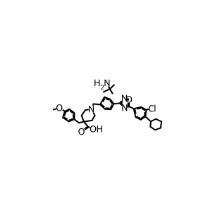 CC(C)(C)N.COc1ccc(CC2(C(=O)O)CCN(Cc3ccc(-c4noc(-c5ccc(C6CCCCC6)c(Cl)c5)n4)cc3)CC2)cc1